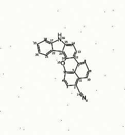 N#Cc1ccc2c3c(cccc13)-c1ccc3[nH]c4ccccc4c3c1O2